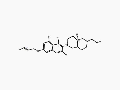 C/C=C/COc1cc(F)c2c(F)c([C@@H]3CC[C@@H]4CC(CCC)CCC4C3)c(F)cc2c1